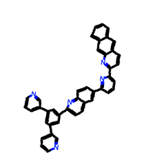 c1cncc(-c2cc(-c3cccnc3)cc(-c3ccc4cc(-c5cccc(-c6ccc7cc8ccccc8cc7n6)n5)ccc4n3)c2)c1